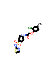 N#Cc1ccc(OCC(=O)Nc2ccc(S(=O)(=O)Nc3nccs3)cc2)c(Cl)c1